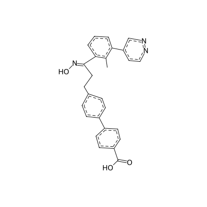 Cc1c(/C(CCc2ccc(-c3ccc(C(=O)O)cc3)cc2)=N/O)cccc1-c1ccnnc1